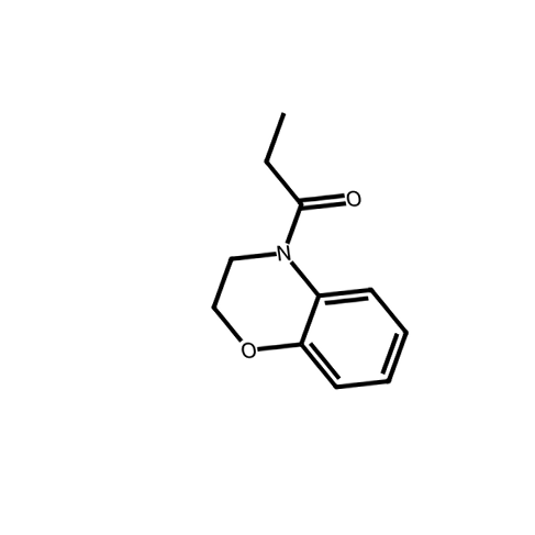 CCC(=O)N1CCOc2ccccc21